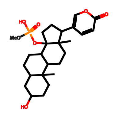 COP(=O)(O)OC12CCC(c3ccc(=O)oc3)C1(C)CCC1C2CCC2CC(O)CCC21C